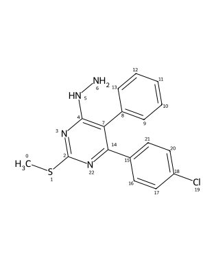 CSc1nc(NN)c(-c2ccccc2)c(-c2ccc(Cl)cc2)n1